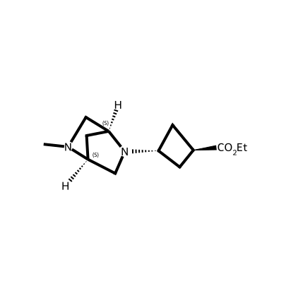 CCOC(=O)[C@H]1C[C@H](N2C[C@@H]3C[C@H]2CN3C)C1